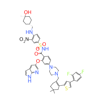 CC1(C)CCC(CN2CCN(c3ccc(C(=O)NS(=O)(=O)c4ccc(NC[C@H]5CC[C@](C)(O)CC5)c([N+](=O)[O-])c4)c(Oc4cnc5[nH]ccc5c4)c3)CC2)=C(c2cc(-c3ccc(F)cc3F)cs2)C1